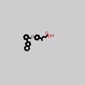 CC(CCC(=O)O)c1ccc(OCc2ccccc2-c2ccc3c(c2)CCCC3)cc1